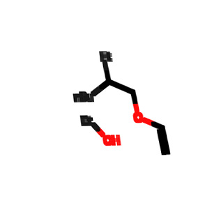 C=COCC(CC)CCCC.CCO